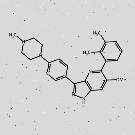 COc1cc2[nH]nc(-c3ccc(N4CCN(C)CC4)nc3)c2nc1-c1cccc(C)c1C